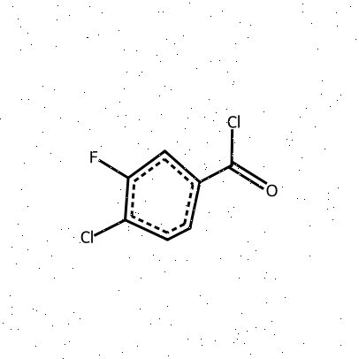 O=C(Cl)c1ccc(Cl)c(F)c1